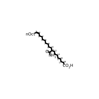 CCCCCCCC/C=C\CCCCCCCCC(CCCCCCCC(=O)O)C(N)=O